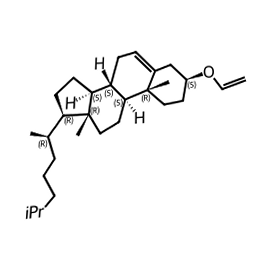 C=CO[C@H]1CC[C@@]2(C)C(=CC[C@H]3[C@@H]4CC[C@H]([C@H](C)CCCC(C)C)[C@@]4(C)CC[C@@H]32)C1